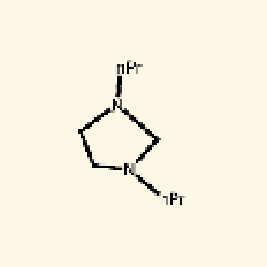 CCCN1CCN(CCC)C1